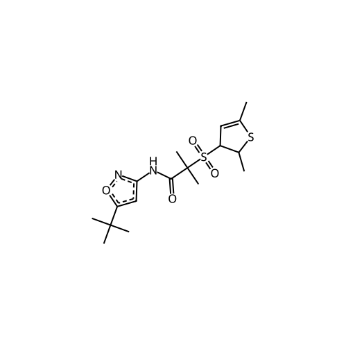 CC1=CC(S(=O)(=O)C(C)(C)C(=O)Nc2cc(C(C)(C)C)on2)C(C)S1